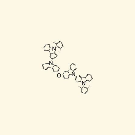 Cc1cccc(C)c1-n1c2ccccc2c2cc(-n3c4ccccc4c4cc(Oc5ccc6c(c5)c5ccccc5n6-c5ccc6c(c5)c5ccccc5n6-c5c(C)cccc5C)ccc43)ccc21